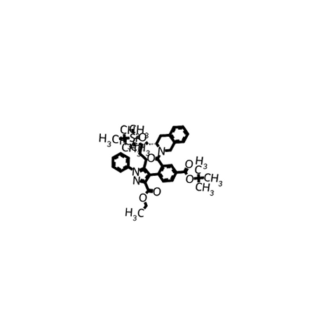 CCCCc1c(-c2ccc(C(=O)OC(C)(C)C)cc2C(=O)N2Cc3ccccc3C[C@H]2CO[Si](C)(C)C(C)(C)C)c(C(=O)OCC)nn1-c1ccccc1